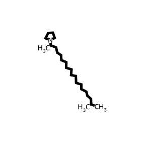 CC(C)CCCCCCCCCCCCCCCC(C)N1CCCC1